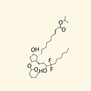 CCCCCCC(F)(F)C(O)CC[C@@H]1[C@@H](CCCCCCC=CC(=O)OC(C)C)[C@@H](O)C[C@H]1OC1CCCCO1